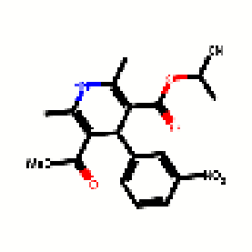 COC(=O)C1=C(C)NC(C)=C(C(=O)OC(C)C#N)C1c1cccc([N+](=O)[O-])c1